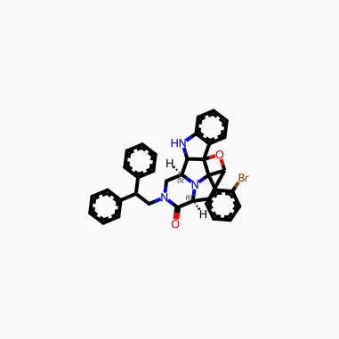 O=C1[C@@H]2CC3OC45c6ccccc6NC4[C@H](CN1CC(c1ccccc1)c1ccccc1)N2C35c1ccccc1Br